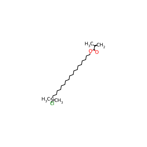 C=C(C)C(=O)OCCCCCCCCCCCCCCCCCC[Si](C)(C)Cl